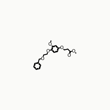 COC(=O)CCOc1ccc(OCCOCc2ccccc2)c(OC)c1